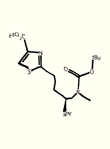 CC(C)[C@@H](CCc1nc(C(=O)O)cs1)N(C)C(=O)OC(C)(C)C